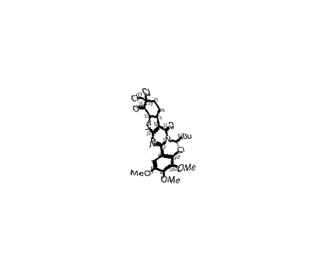 CCC(C)Cn1c(-c2cc(OC)c(OC)c(OC)c2Cl)nc2c(c1=O)C1CCC(Cl)(Cl)C(=O)C1S2